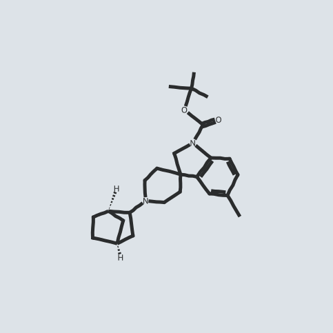 Cc1ccc2c(c1)C1(CCN(C3C[C@H]4CC[C@@H]3C4)CC1)CN2C(=O)OC(C)(C)C